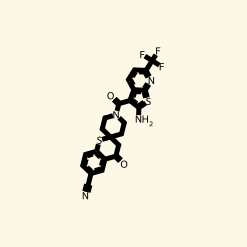 N#Cc1ccc2c(c1)C(=O)CC1(CCN(C(=O)c3c(N)sc4nc(C(F)(F)F)ccc34)CC1)S2